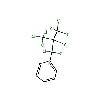 ClC(Cl)(Cl)C(Cl)(C(Cl)(Cl)Cl)C(Cl)(Cl)c1cc[c]cc1